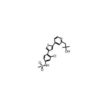 CC(C)(O)Cc1cc(-c2cc(-c3ccc(NS(C)(=O)=O)cc3Cl)cs2)ccn1